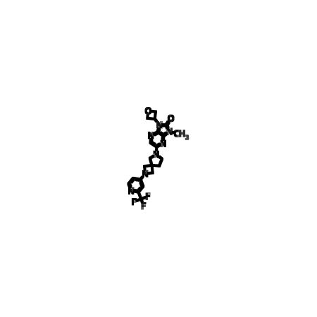 Cn1c(=O)n(C2COC2)c2ncc(N3CCC4(CN(c5ccnc(C(F)(F)F)c5)C4)C3)nc21